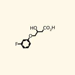 O=C(O)CC(O)COc1cccc(F)c1